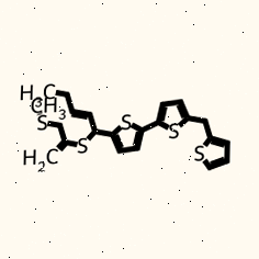 C=C(CSC)SC(C=CCC)c1ccc(-c2ccc(Cc3cccs3)s2)s1